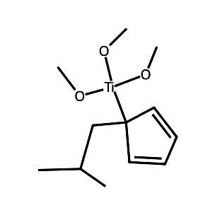 C[O][Ti]([O]C)([O]C)[C]1(CC(C)C)C=CC=C1